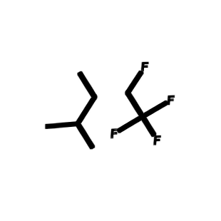 CCC(C)C.FCC(F)(F)F